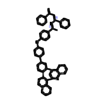 C=C(/C=C(\N=C(/C)c1ccc(Oc2ccc(-c3ccc4c(c3)-c3cc(nc5ccccc35)-c3c-4ccc4ccccc34)cc2)cc1)c1ccccc1)c1ccccc1